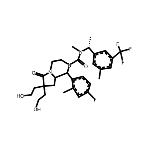 Cc1cc([C@@H](C)N(C)C(=O)N2CCN3C(=O)C(CCO)(CCO)CC3C2c2ccc(F)cc2C)cc(C(F)(F)F)c1